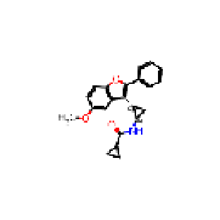 COc1ccc2oc(-c3ccccc3)c([C@@H]3C[C@H]3NC(=O)C3CC3)c2c1